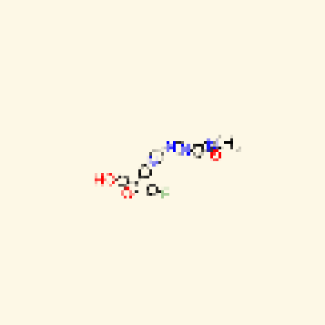 CN1Cc2cc(N3CCN(CC4CCN(c5ccc(C6c7ccc(O)cc7OCC6c6ccc(F)cc6)cc5)CC4)CC3)ccc2C1=O